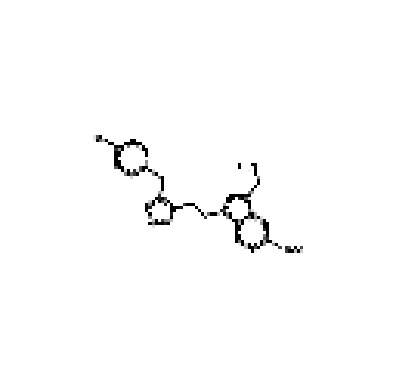 COc1ccc2c(c1)c(CN)cn2CCc1cncn1Cc1ccc(C#N)cc1